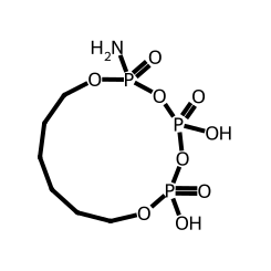 NP1(=O)OCCCCCCOP(=O)(O)OP(=O)(O)O1